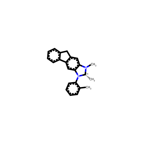 Cc1ccccc1N1c2cc3c(cc2N(C)[C@@H]1C)Cc1ccccc1-3